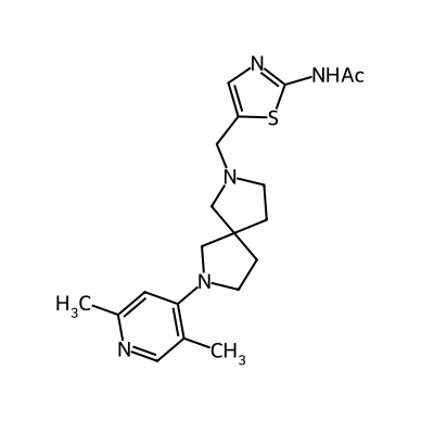 CC(=O)Nc1ncc(CN2CCC3(CCN(c4cc(C)ncc4C)C3)C2)s1